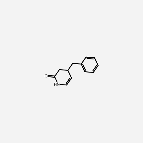 O=C1CC(Cc2ccccc2)C=CN1